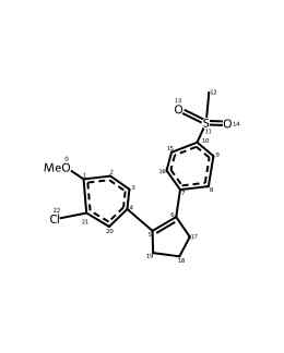 COc1ccc(C2=C(c3ccc(S(C)(=O)=O)cc3)CCC2)cc1Cl